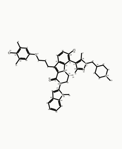 Cc1cc(OCCCc2c3n(c4c(-c5c(C)nn(CC6CCN(C)CC6)c5C)c(Cl)ccc24)[C@H](C)CN(c2cc4ccccc4n2C)C3=O)cc(C)c1Cl